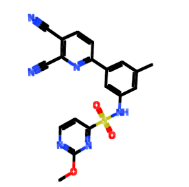 COc1nccc(S(=O)(=O)Nc2cc(C)cc(-c3ccc(C#N)c(C#N)n3)c2)n1